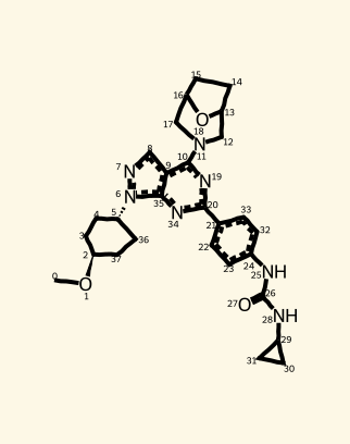 CO[C@H]1CC[C@H](n2ncc3c(N4CC5CCC(C4)O5)nc(-c4ccc(NC(=O)NC5CC5)cc4)nc32)CC1